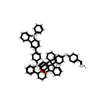 C=CC1=CCC(OC2=CC=C(C3(C4(C5C=CCCC5)CCCCC4)C4C=C(N(c5ccccc5C5CCCCC5)C5CC=C(C6=CC7C8CCCC=C8N(C8=CC=CCC8)C7C=C6)CC5)C=CC4C4CCC=C[C@@H]43)CC2)CC1